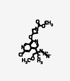 COCC(C)(N=[N+]=[N-])c1cnc(OC2CN(C(=O)OC)C2)c2cnc(Cl)cc12